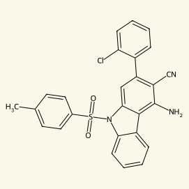 Cc1ccc(S(=O)(=O)n2c3ccccc3c3c(N)c(C#N)c(-c4ccccc4Cl)cc32)cc1